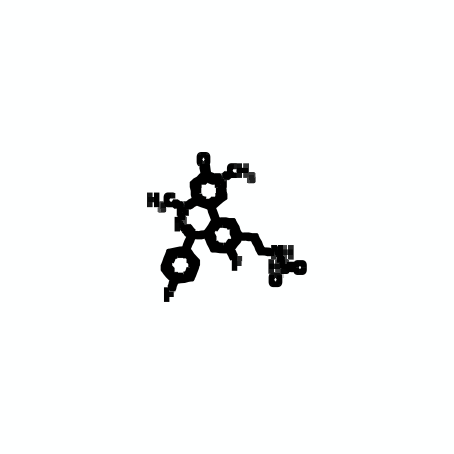 CN1N=C(c2ccc(F)cc2)c2cc(F)c(CCN[SH](=O)=O)cc2-c2cn(C)c(=O)cc21